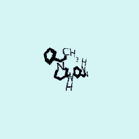 CCC(c1ccccc1)N1CCCC(Nc2ccc3[nH]ncc3c2)C1